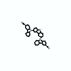 N#Cc1ccc2c(c1)c1ccccc1n2-c1ccc2oc3ccc(-n4c5ccccc5c5cc(C#N)ccc54)cc3c2c1